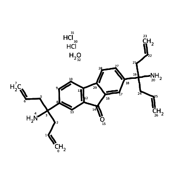 C=CCC(N)(CC=C)c1ccc2c(c1)C(=O)c1cc(C(N)(CC=C)CC=C)ccc1-2.Cl.Cl.O